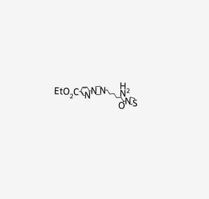 CCOC(=O)c1ccc(N2CCN(CCCC[C@H](N)C(=O)N3CCSC3)CC2)nc1